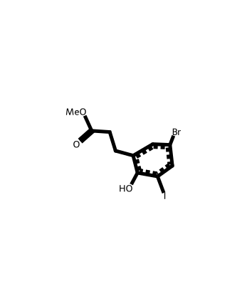 COC(=O)CCc1cc(Br)cc(I)c1O